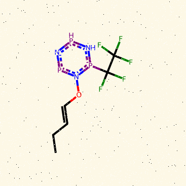 CCC=COn1pn[pH][nH]p1C(F)(F)C(F)(F)F